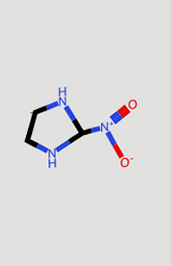 O=[N+]([O-])C1N[CH]CN1